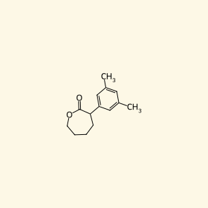 Cc1cc(C)cc(C2CCCCOC2=O)c1